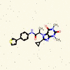 CC(C(=O)Nc1ccc(-c2ccsc2)cc1)n1c(C2CC2)nc2c1c(=O)n(C)c(=O)n2C